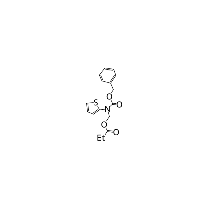 CCC(=O)OCN(C(=O)OCc1ccccc1)c1cccs1